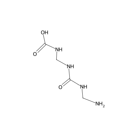 NCNC(=O)NCNC(=O)O